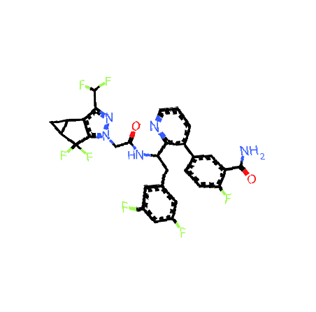 NC(=O)c1cc(-c2cccnc2C(Cc2cc(F)cc(F)c2)NC(=O)Cn2nc(C(F)F)c3c2C(F)(F)C2CC32)ccc1F